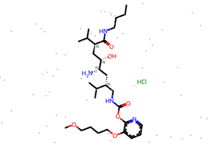 CCCCNC(=O)[C@@H](C[C@H](O)[C@@H](N)C[C@H](CNC(=O)Oc1ncccc1OCCCCOC)C(C)C)C(C)C.Cl